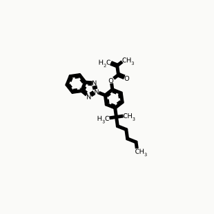 C=C(C)C(=O)Oc1ccc(C(C)(C)CCCCC)cc1-n1nc2ccccc2n1